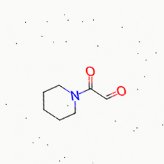 O=CC(=O)N1CCCCC1